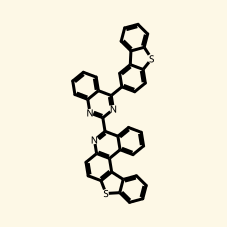 c1ccc2c(-c3ccc4sc5ccccc5c4c3)nc(-c3nc4ccc5sc6ccccc6c5c4c4ccccc34)nc2c1